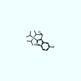 CC(C)[Si](c1[nH]c2ccc(F)cc2c1C=O)(C(C)C)C(C)C